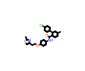 Cc1ccc(C(=O)Nc2ccc(OCCc3csc(C)n3)cc2)c(-c2ccc(Cl)cc2)c1